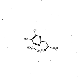 CC(=O)O.N[C@@H](Cc1ccc(O)c(O)c1)C(=O)O